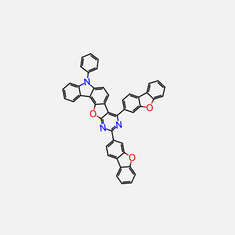 c1ccc(-n2c3ccccc3c3c4oc5nc(-c6ccc7c(c6)oc6ccccc67)nc(-c6ccc7c(c6)oc6ccccc67)c5c4ccc32)cc1